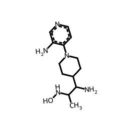 CC(NO)C(N)C1CCN(c2ccncc2N)CC1